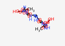 COCc1c(/N=N/c2ccc(S(=O)(=O)NCCCN3CCN(CCCNS(=O)(=O)c4ccc(/N=N/c5c(COC)c(C=N)c(=O)n(CCOCCO)c5O)cc4)CC3)cc2)c(O)n(CCOCCO)c(=O)c1C#N